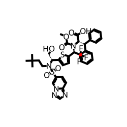 COC(=O)N([C@H](C(=O)O)C(c1ccccc1)c1ccccc1)[C@H](c1ccc([C@@H](CO)N(CCC(C)(C)C)S(=O)(=O)c2ccc3ncnn3c2)s1)C(F)(F)F